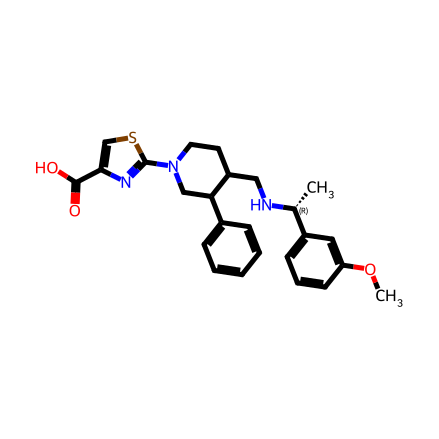 COc1cccc([C@@H](C)NCC2CCN(c3nc(C(=O)O)cs3)CC2c2ccccc2)c1